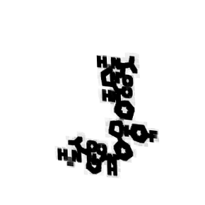 CC(C)[C@H](N)C(=O)N1CCC[C@@H]1C(=O)Nc1cccc([C@H]2CC[C@H](c3cccc(NC(=O)[C@H]4CCCN4C(=O)[C@@H](N)C(C)C)c3)N2c2ccc(F)cc2)c1